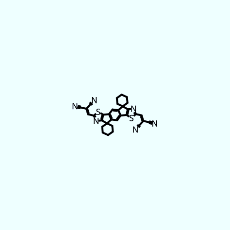 N#CC(C#N)=Cc1nc2c(s1)-c1cc3c(cc1C21CCCCC1)-c1sc(C=C(C#N)C#N)nc1C31CCCCC1